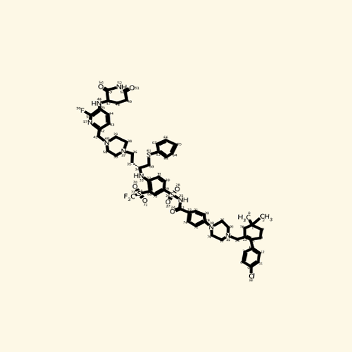 CC1(C)CCC(c2ccc(Cl)cc2)=C(CN2CCN(c3ccc(C(=O)NS(=O)(=O)c4ccc(N[C@H](CCN5CCN(Cc6ccc(NC7CCC(=O)NC7=O)c(F)n6)CC5)CSc5ccccc5)c(S(=O)(=O)C(F)(F)F)c4)cc3)CC2)C1